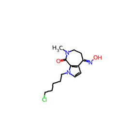 CN1CCC(=NO)c2ccn(CCCCCCl)c2C1=O